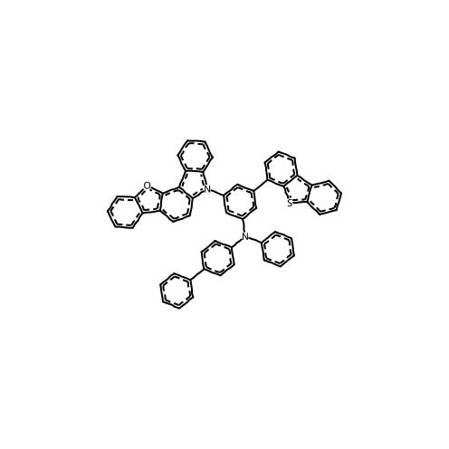 c1ccc(-c2ccc(N(c3ccccc3)c3cc(-c4cccc5c4sc4ccccc45)cc(-n4c5ccccc5c5c6oc7ccccc7c6ccc54)c3)cc2)cc1